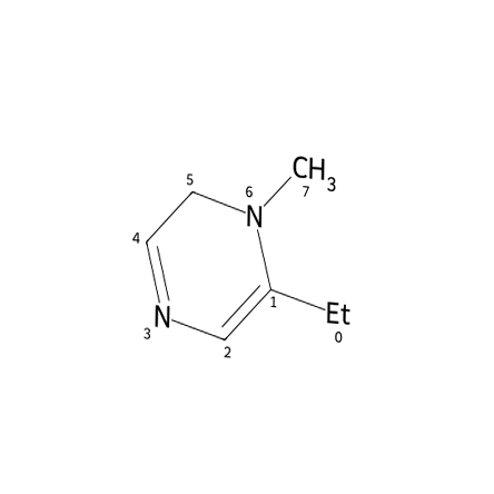 CCC1=CN=CCN1C